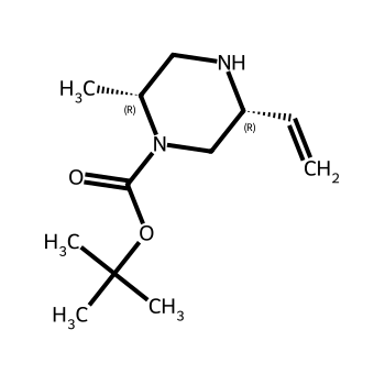 C=C[C@@H]1CN(C(=O)OC(C)(C)C)[C@H](C)CN1